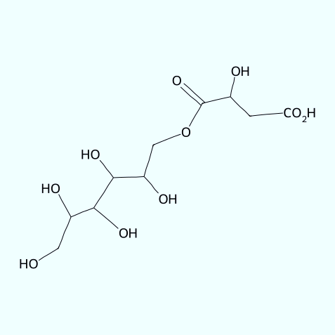 O=C(O)CC(O)C(=O)OCC(O)C(O)C(O)C(O)CO